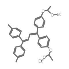 CCOC(C)Oc1ccc(C(=CC=C(c2ccc(C)cc2)c2ccc(C)cc2)c2ccc(OC(C)OCC)cc2)cc1